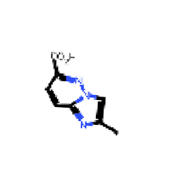 Cc1cn2nc(C(=O)O)ccc2n1